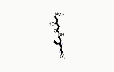 C=C/C(=C\C=C\C(F)(F)F)CCNC(=O)CC(O)CCNC